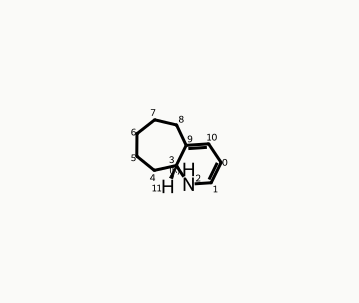 C1=CN[C@@H]2CCCCCC2=C1